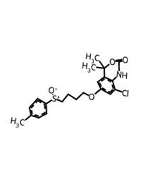 Cc1ccc([S+]([O-])CCCCOc2cc(Cl)c3c(c2)C(C)(C)OC(=O)N3)cc1